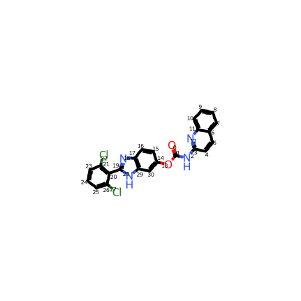 O=C(Nc1ccc2ccccc2n1)Oc1ccc2nc(-c3c(Cl)cccc3Cl)[nH]c2c1